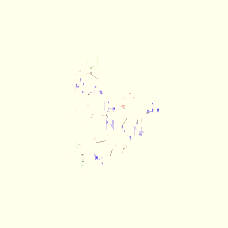 C[C@@H](c1ccc(C(F)(F)F)nc1)n1nc(C#N)c2c(=O)[nH]c(C3CCC3c3ncc(Cl)cn3)nc21